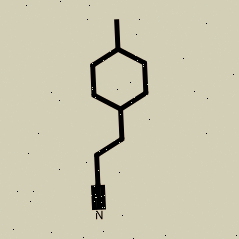 CC1CCC(CCC#N)CC1